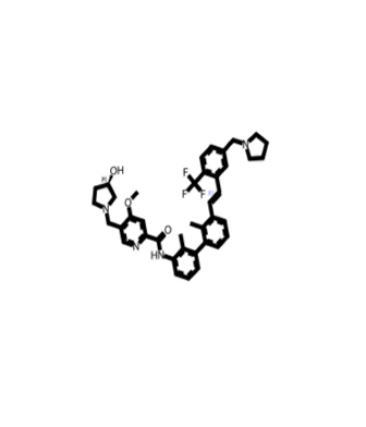 COc1cc(C(=O)Nc2cccc(-c3cccc(/C=C/c4cc(CN5CCCC5)ccc4C(F)(F)F)c3C)c2C)ncc1CN1CC[C@@H](O)C1